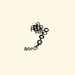 COCCN1CCC(c2ccc(C(=O)N[C@H](C(=O)N3CC[C@H]4OCC(=O)[C@H]43)C3CCCCC3)cc2)CC1